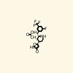 CC(=O)O.O=c1cc([C@@H]2CCN[C@@H](Cc3cc(F)cc(C(F)(F)F)c3)C2)o[nH]1